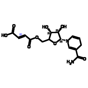 NC(=O)C1=CN([C@@H]2OC(COC(=O)/C=C/C(=O)O)[C@@H](O)[C@H]2O)C=CC1